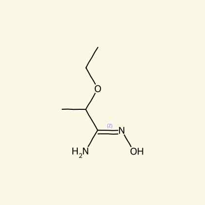 CCOC(C)/C(N)=N/O